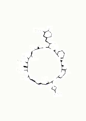 COC1CN(C2CC3CCC(C)C(O)(O3)C(=O)C(=O)N3CCCCC3C(=O)OC(C(C)CC3CCC(O)C(OC)C3)CC(=O)C(C)/C=C(\C)C(O)C(OC)C(=O)C(C)CC(C)/C=C/C=C/C=C/2C)C1